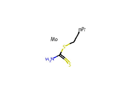 CCCCSC(N)=S.[Mo]